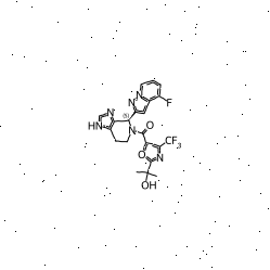 CC(C)(O)c1nc(C(F)(F)F)c(C(=O)N2CCc3[nH]cnc3[C@H]2c2cc3c(F)cccn3n2)o1